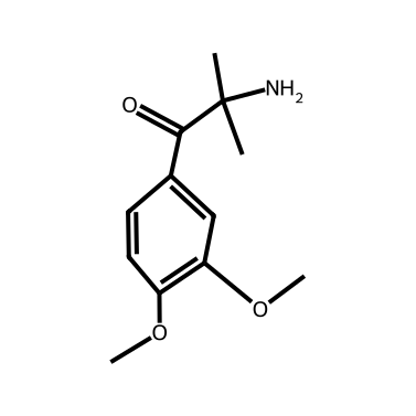 COc1ccc(C(=O)C(C)(C)N)cc1OC